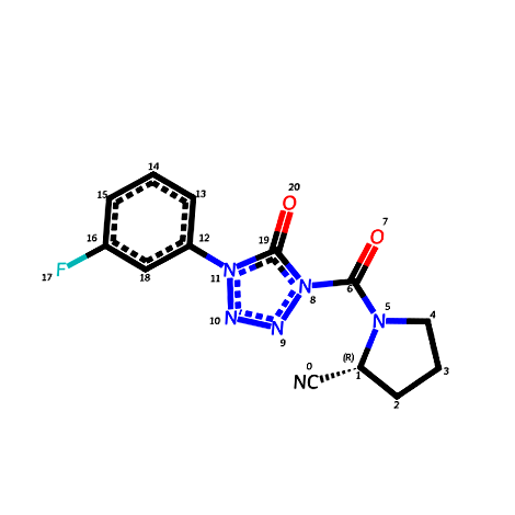 N#C[C@H]1CCCN1C(=O)n1nnn(-c2cccc(F)c2)c1=O